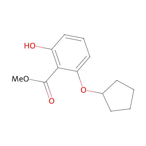 COC(=O)c1c(O)cccc1OC1CCCC1